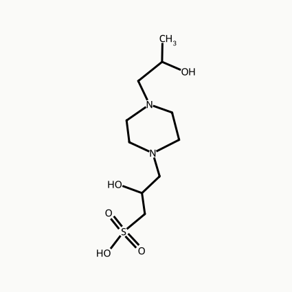 CC(O)CN1CCN(CC(O)CS(=O)(=O)O)CC1